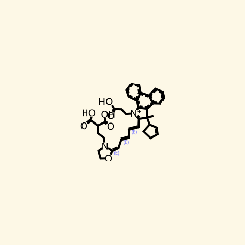 CC1(C2C=CCC2)C(/C=C/C=C/C=C2/OCCN2CCC(C(=O)O)C(=O)O)=[N+](CCC(=O)O)c2c1c1ccccc1c1ccccc21